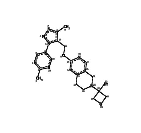 Cc1ccc(-n2nnc(C)c2COc2cc3c(cn2)CN(C2(C(C)C)COC2)CC3)cn1